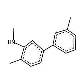 CNc1cc(-c2cccc(C)c2)ccc1C